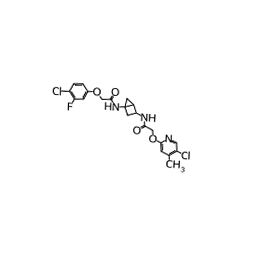 Cc1cc(OCC(=O)NC2CC3(NC(=O)COc4ccc(Cl)c(F)c4)CC23)ncc1Cl